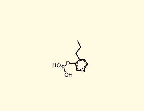 CCCc1ccncc1OB(O)O